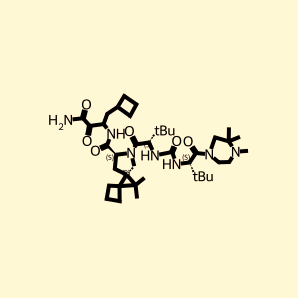 CN1CCN(C(=O)[C@@H](NC(=O)N[C@H](C(=O)N2C[C@]3(C[C@H]2C(=O)NC(CC2CCC2)C(=O)C(N)=O)C(C)(C)C32CCC2)C(C)(C)C)C(C)(C)C)CC1(C)C